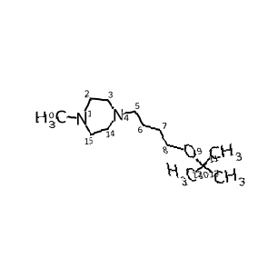 CN1CCN(CCCCOC(C)(C)C)CC1